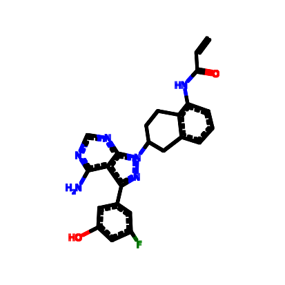 C=CC(=O)Nc1cccc2c1CCC(n1nc(-c3cc(O)cc(F)c3)c3c(N)ncnc31)C2